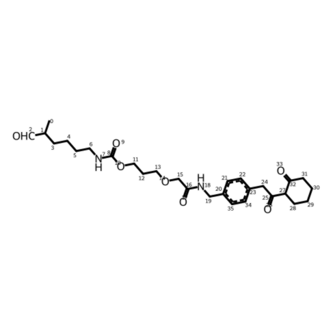 CC(C=O)CCCCNC(=O)OCCCOCC(=O)NCc1ccc(CC(=O)C2CCCCC2=O)cc1